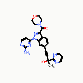 CC(O)(C#Cc1ccc2c(C(=O)N3CCOCC3)nn(-c3ccnc(N)n3)c2c1)c1ncccn1